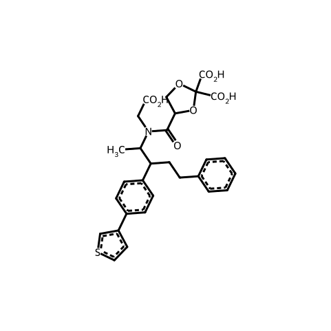 CC(C(CCc1ccccc1)c1ccc(-c2ccsc2)cc1)N(CC(=O)O)C(=O)C1COC(C(=O)O)(C(=O)O)O1